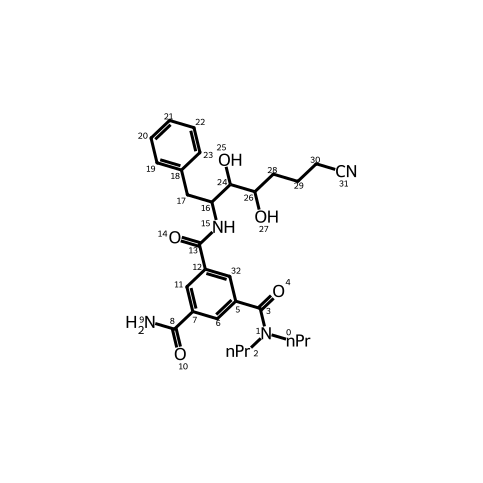 CCCN(CCC)C(=O)c1cc(C(N)=O)cc(C(=O)NC(Cc2ccccc2)C(O)C(O)CCCC#N)c1